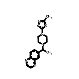 Cc1nnc(N2CCN(C(C)c3ccc4nccnc4c3)CC2)s1